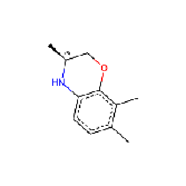 Cc1ccc2c(c1C)OC[C@H](C)N2